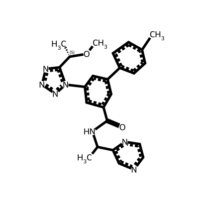 CO[C@@H](C)c1nnnn1-c1cc(C(=O)NC(C)c2cnccn2)cc(-c2ccc(C)cc2)c1